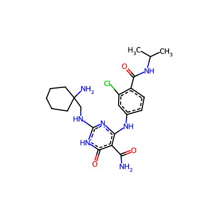 CC(C)NC(=O)c1ccc(Nc2nc(NCC3(N)CCCCC3)[nH]c(=O)c2C(N)=O)cc1Cl